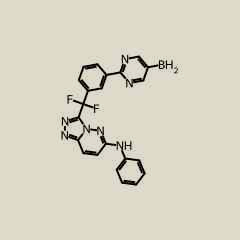 Bc1cnc(-c2cccc(C(F)(F)c3nnc4ccc(Nc5ccccc5)nn34)c2)nc1